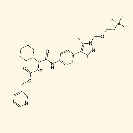 Cc1nn(COCC[Si](C)(C)C)c(C)c1-c1ccc(NC(=O)[C@@H](NC(=O)OCc2cccnc2)C2CCCCC2)cc1